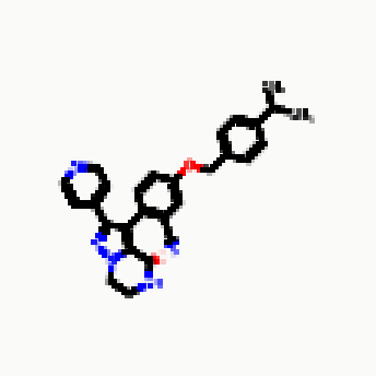 CC(C)c1ccc(COc2ccc(-c3c(-c4ccncc4)nn4c3C(=O)NCC4)c(C#N)c2)cc1